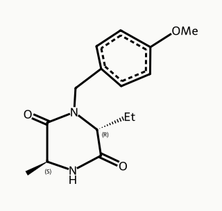 CC[C@@H]1C(=O)N[C@@H](C)C(=O)N1Cc1ccc(OC)cc1